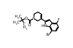 CC(C)(C)OC(=O)N1CCC=C(c2cc3c(F)ccc(Br)c3[nH]2)C1